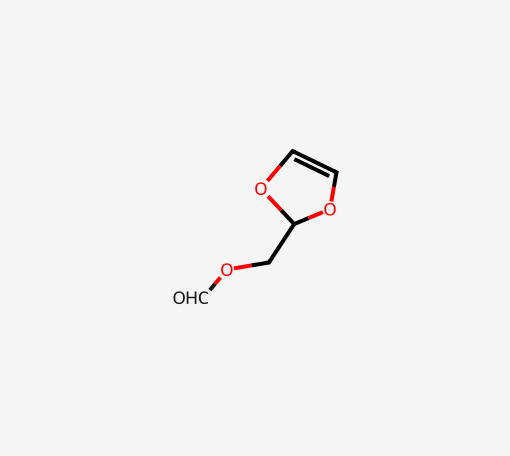 O=COCC1OC=CO1